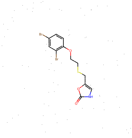 O=c1[nH]cc(CSCCOc2ccc(Br)cc2Br)o1